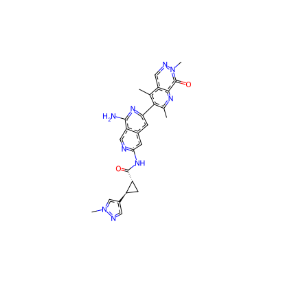 Cc1nc2c(=O)n(C)ncc2c(C)c1-c1cc2cc(NC(=O)[C@@H]3C[C@H]3c3cnn(C)c3)ncc2c(N)n1